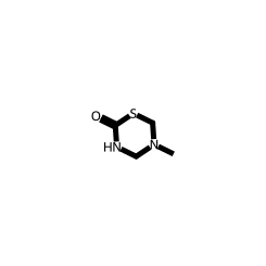 CN1CNC(=O)SC1